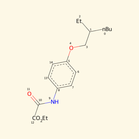 CCCCC(CC)COc1ccc(NC(=O)C(=O)OCC)cc1